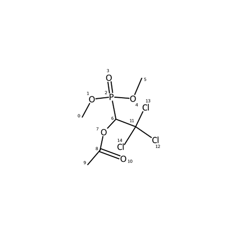 COP(=O)(OC)C(OC(C)=O)C(Cl)(Cl)Cl